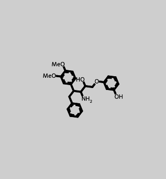 COc1ccc(C(Cc2ccccc2)C(N)C(O)COc2cccc(O)c2)cc1OC